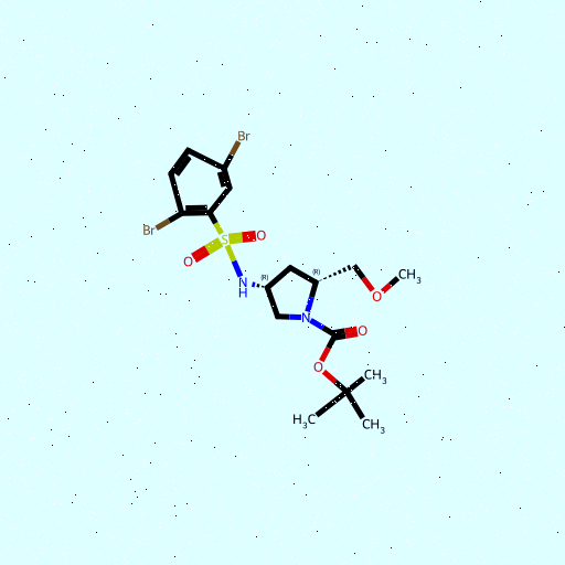 COC[C@H]1C[C@@H](NS(=O)(=O)c2cc(Br)ccc2Br)CN1C(=O)OC(C)(C)C